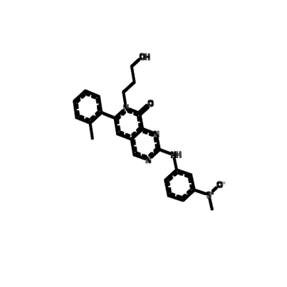 Cc1ccccc1-c1cc2cnc(Nc3cccc([S+](C)[O-])c3)nc2c(=O)n1CCCO